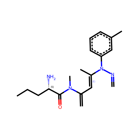 C=NN(/C(C)=C/C(=C)N(C)C(=O)[C@@H](N)CCC)c1cccc(C)c1